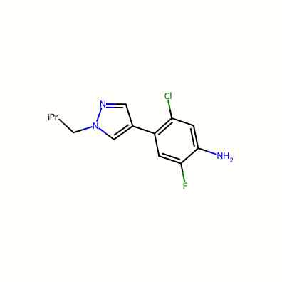 CC(C)Cn1cc(-c2cc(F)c(N)cc2Cl)cn1